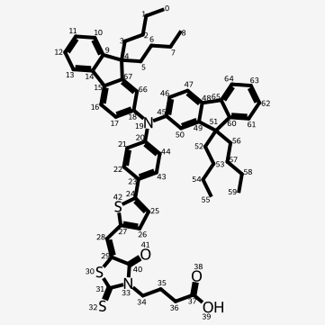 CCCCC1(CCCC)c2ccccc2-c2ccc(N(c3ccc(-c4ccc(/C=C5/SC(=S)N(CCCC(=O)O)C5=O)s4)cc3)c3ccc4c(c3)C(CCCC)(CCCC)c3ccccc3-4)cc21